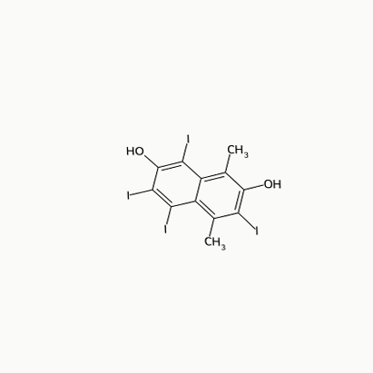 Cc1c(O)c(I)c(C)c2c(I)c(I)c(O)c(I)c12